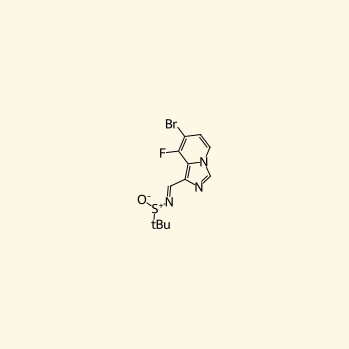 CC(C)(C)[S+]([O-])N=Cc1ncn2ccc(Br)c(F)c12